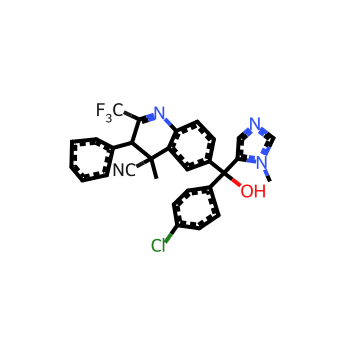 Cn1cncc1C(O)(c1ccc(Cl)cc1)c1ccc2c(c1)C(C)(C#N)C(c1ccccc1)C(C(F)(F)F)=N2